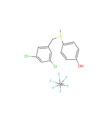 C[S+](Cc1cc(Cl)cc(Cl)c1)c1ccc(O)cc1.[F][Sb-]([F])([F])([F])([F])[F]